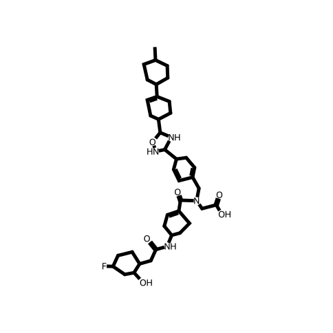 CC1CCC(C2=CCC(C3NC(C4C=CC(CN(CC(=O)O)C(=O)C5=CCC(NC(=O)CC6CCC(F)CC6O)CC5)=CC4)NO3)CC2)CC1